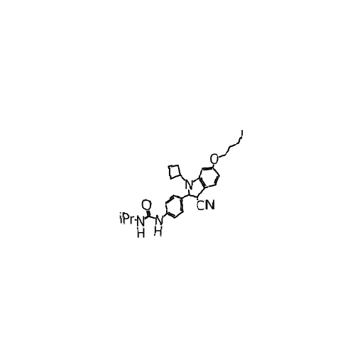 CC(C)NC(=O)Nc1ccc(C2C(C#N)c3ccc(OCCCI)cc3N2C2CCC2)cc1